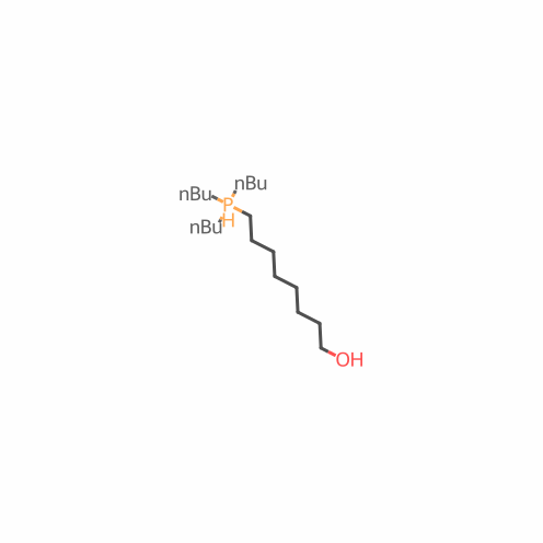 CCCC[PH](CCCC)(CCCC)CCCCCCCCO